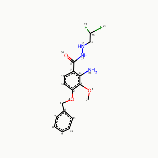 COc1c(OCc2ccccc2)ccc(C(=O)NNCC(F)F)c1N